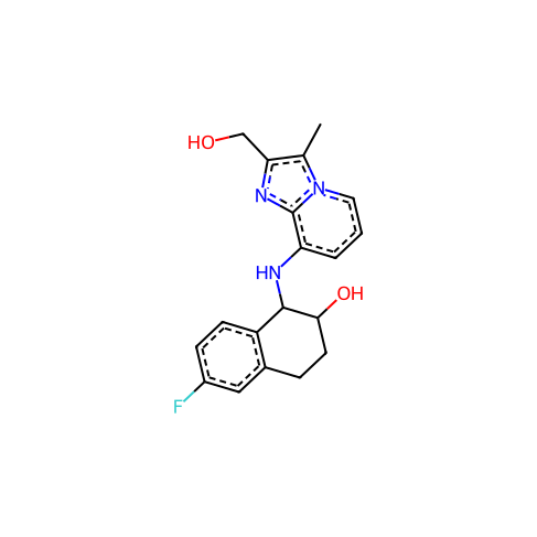 Cc1c(CO)nc2c(NC3c4ccc(F)cc4CCC3O)cccn12